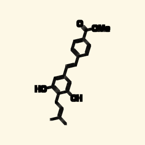 COC(=O)c1ccc(C=Cc2cc(O)c(CC=C(C)C)c(O)c2)cc1